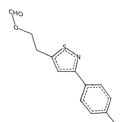 O=COCCc1cc(-c2ccc(F)cc2)ns1